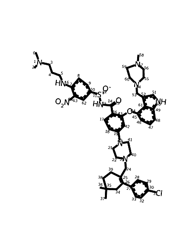 CN(C)CCCNc1ccc([S+]([O-])NC(=O)c2ccc(N3CCN(CC4=C(c5ccc(Cl)cc5)CC(C)(C)CC4)CC3)cc2Oc2cccc3[nH]cc(CN4CCN(C)CC4)c23)cc1[N+](=O)[O-]